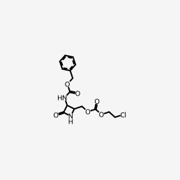 O=C(NC1C(=O)NC1COC(=O)OCCCl)OCc1ccccc1